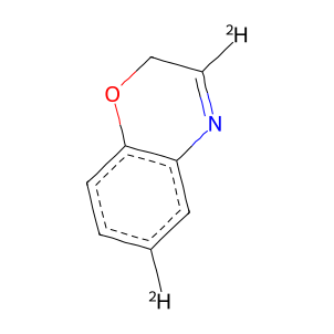 [2H]C1=Nc2cc([2H])ccc2OC1